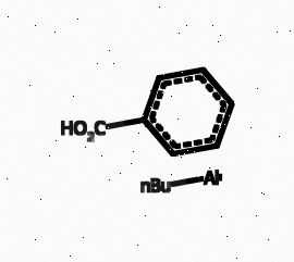 CCC[CH2][Al].O=C(O)c1ccccc1